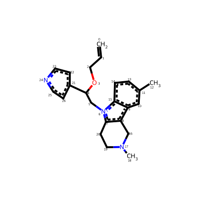 C=CCOC(Cn1c2c(c3cc(C)ccc31)CN(C)CC2)c1ccncc1